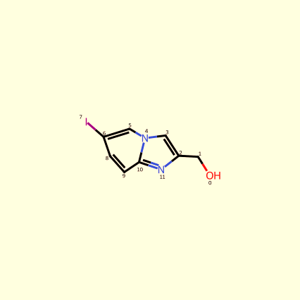 OCc1cn2cc(I)ccc2n1